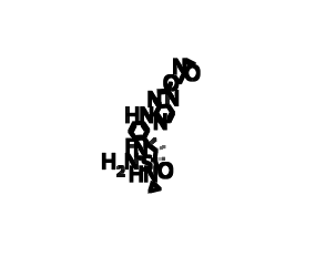 C[C@@H]1[C@@](C)(C(=O)NC2CC2)SC(N)=N[C@]1(C)c1cc(Nc2nccc3nc(OCc4ncco4)cnc23)ccc1F